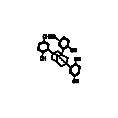 Oc1ccc(O)c(C23CC4CC(c5cc(O)ccc5O)(C2)CC(c2cc(O)ccc2O)(C4)C3)c1